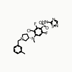 Cc1cccc(CN2CC[C@H](N(C)c3cc(F)c(S(=O)(=O)Nc4ncns4)c(F)c3Cl)C2)c1